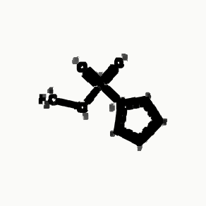 O=S(=O)(OC(F)(F)F)n1cccc1